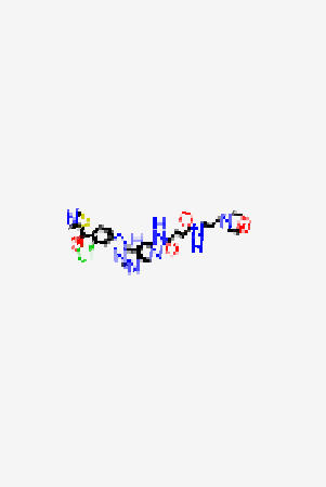 O=C(C=CC(=O)Nc1cc2c(Nc3ccc(C(=O)c4cncs4)c(Cl)c3)ncnc2cn1)NCCCN1CCOCC1